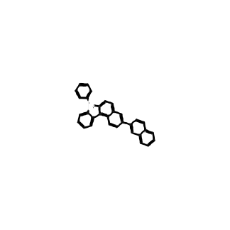 c1ccc(-n2c3ccccc3c3c4ccc(-c5ccc6ccccc6c5)cc4ccc32)cc1